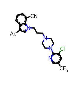 CC(=O)c1cn(CCCN2CCN(c3ncc(C(F)(F)F)cc3Cl)CC2)c2c(C#N)cccc12